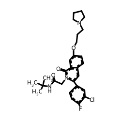 CC(C)(C)NC(=O)Cn1c(-c2ccc(F)c(Cl)c2)cc2ccc(OCCCN3CCCC3)cc2c1=O